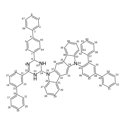 c1ccc(-c2ccc(C3N=C(c4cccc(-c5ccccc5)c4)NC(n4c5ccccc5c5cc6c(cc54)c4ccccc4n6-c4ccc(-c5ccccc5)cc4-c4ccccc4)N3)cc2)cc1